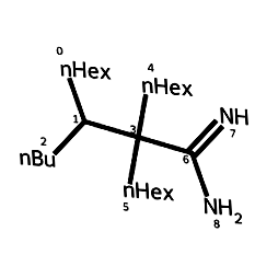 CCCCCCC(CCCC)C(CCCCCC)(CCCCCC)C(=N)N